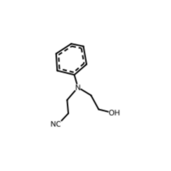 N#CCCN(CCO)c1ccccc1